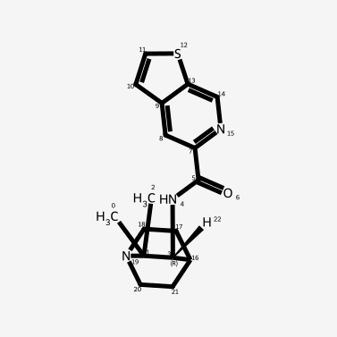 CC1(C)[C@H](NC(=O)c2cc3ccsc3cn2)C2CCN1CC2